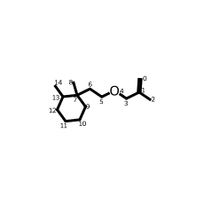 C=C(C)COCCC1(C)CCCCC1C